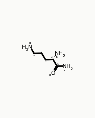 NCCC[C@H](N)C(N)=O